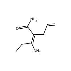 C=CC/C(C(N)=O)=C(\N)CC